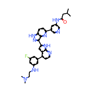 CC(C)CC(=O)Nc1cncc(-c2ccc3[nH]nc(-c4cc5c(-c6cc(F)cc(NCCN(C)C)c6)ccnc5[nH]4)c3n2)c1